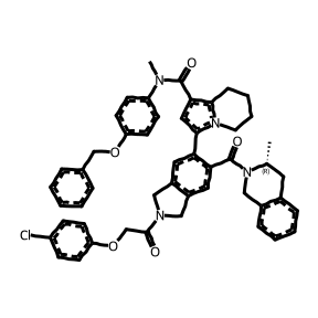 C[C@@H]1Cc2ccccc2CN1C(=O)c1cc2c(cc1-c1cc(C(=O)N(C)c3ccc(OCc4ccccc4)cc3)c3n1CCCC3)CN(C(=O)COc1ccc(Cl)cc1)C2